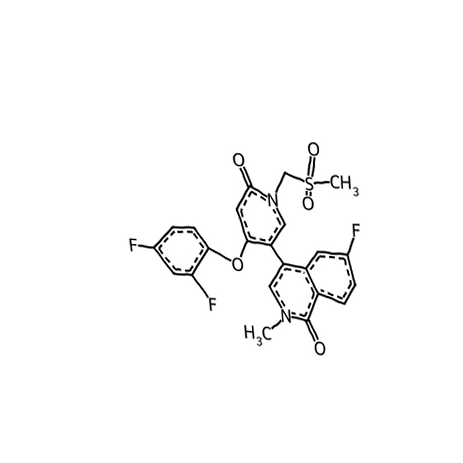 Cn1cc(-c2cn(CS(C)(=O)=O)c(=O)cc2Oc2ccc(F)cc2F)c2cc(F)ccc2c1=O